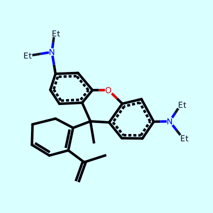 C=C(C)C1=C(C2(C)c3ccc(N(CC)CC)cc3Oc3cc(N(CC)CC)ccc32)CCC=C1